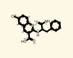 NC(=O)C(Cc1ccccc1)Nc1nc2ccc(Cl)cc2cc1C(=O)O